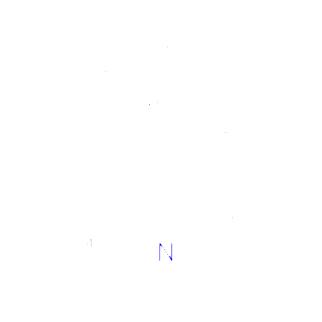 C1=CC12CC[N]CC2